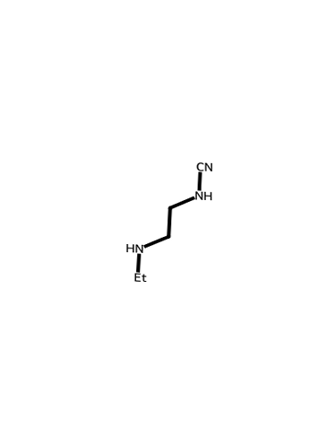 CCNCCNC#N